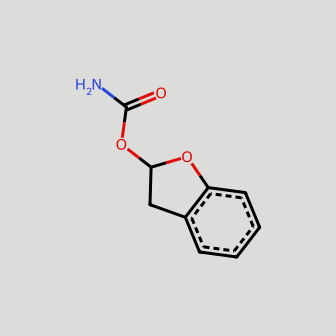 NC(=O)OC1Cc2ccccc2O1